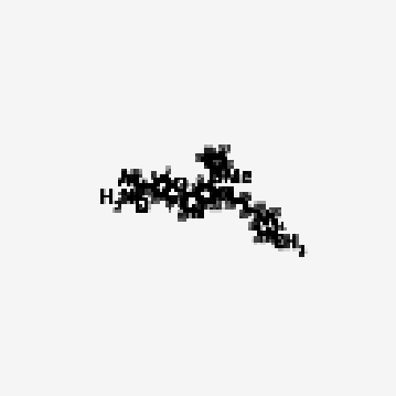 COc1cc2c(Oc3ccc(N(C(C)=O)C(N)=O)cc3F)ccnc2cc1OCCCCN1CCN(C)CC1.c1cc2cc-2c1